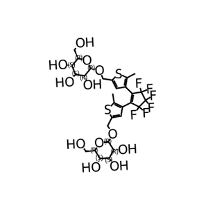 Cc1sc(CO[C@@H]2O[C@H](CO)[C@@H](O)[C@H](O)[C@H]2O)cc1C1=C(c2cc(CO[C@@H]3O[C@H](CO)[C@@H](O)[C@H](O)[C@H]3O)sc2C)C(F)(F)C(F)(F)C1(F)F